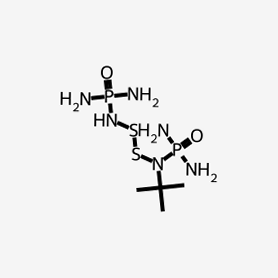 CC(C)(C)N(SSNP(N)(N)=O)P(N)(N)=O